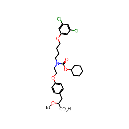 CCOC(Cc1ccc(OCCN(CCCCOc2cc(Cl)cc(Cl)c2)C(=O)OC2CCCCC2)cc1)C(=O)O